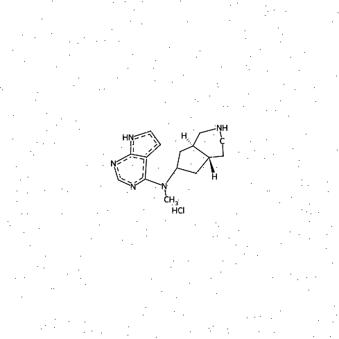 CN(c1ncnc2[nH]ccc12)C1C[C@H]2CCNC[C@@H]2C1.Cl